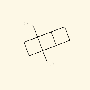 O=C(O)C12C3C4C5C3C1(C(=O)O)C5C42